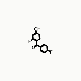 O=C(c1ccc(F)cc1)c1ccc(O)cc1F